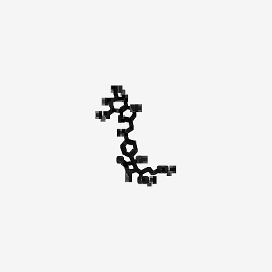 NC1=NC2=C(N=C(CNc3ccc(C4(O)C(=O)NC4C(CCC(=O)O)C(=O)O)cc3)CN2)C(N)N1